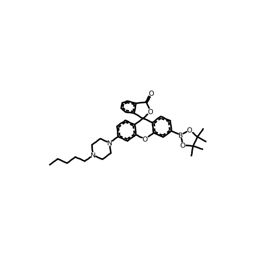 CCCCCN1CCN(c2ccc3c(c2)Oc2cc(B4OC(C)(C)C(C)(C)O4)ccc2C32OC(=O)c3ccccc32)CC1